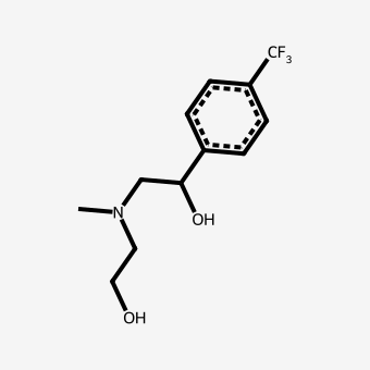 CN(CCO)CC(O)c1ccc(C(F)(F)F)cc1